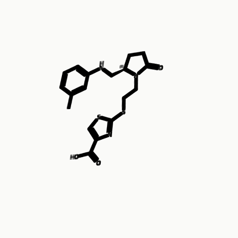 Cc1cccc(NC[C@H]2CCC(=O)N2CCSc2nc(C(=O)O)cs2)c1